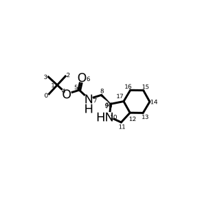 CC(C)(C)OC(=O)NC[C@@H]1NCC2CCCCC21